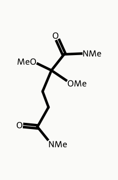 CNC(=O)CCC(OC)(OC)C(=O)NC